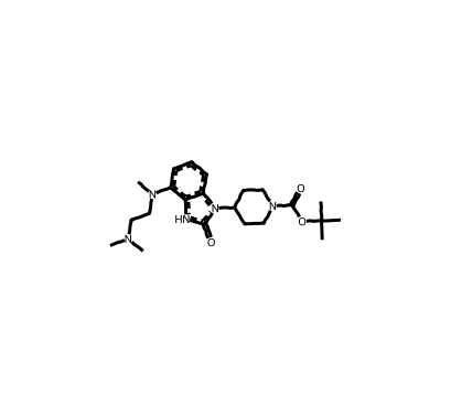 CN(C)CCN(C)c1cccc2c1[nH]c(=O)n2C1CCN(C(=O)OC(C)(C)C)CC1